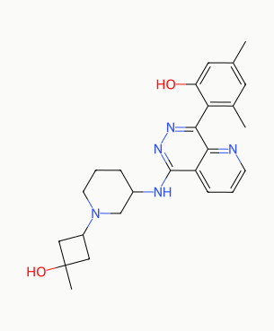 Cc1cc(C)c(-c2nnc(NC3CCCN(C4CC(C)(O)C4)C3)c3cccnc23)c(O)c1